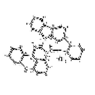 CC1(C)c2ccccc2-c2ccc3c4ccccc4n(-c4nc5c6c(cccc6n4)Oc4ccccc4-5)c3c21